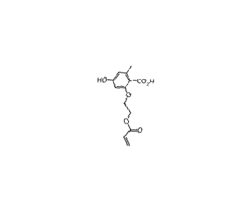 C=CC(=O)OCCOc1cc(O)cc(C)c1C(=O)O